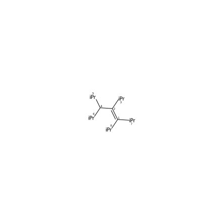 CC(C)C(=C(C(C)C)C(C(C)C)C(C)C)C(C)C